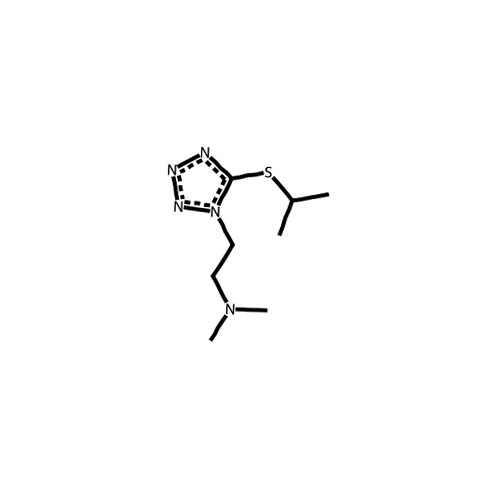 CC(C)Sc1nnnn1CCN(C)C